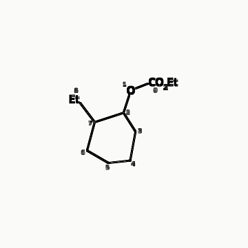 CCOC(=O)OC1CCCCC1CC